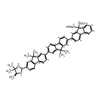 C=C1OB(c2ccc3c(c2)C(C)(C)c2cc(-c4ccc5c(c4)C(C)(C)c4cc(-c6ccc7c(c6)C(CCCCCCC)(CCCCCCCC)c6ccccc6-7)ccc4-5)ccc2-3)OC1(C)C